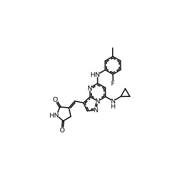 Cc1ccc(F)c(Nc2cc(NC3CC3)n3ncc(/C=C4\CC(=O)NC4=O)c3n2)c1